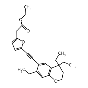 CCOC(=O)Cc1ccc(C#Cc2cc3c(cc2CC)OCCC3(CC)CC)o1